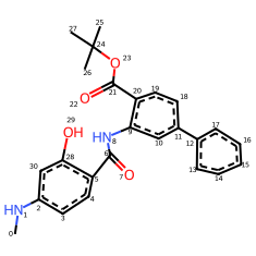 CNc1ccc(C(=O)Nc2cc(-c3ccccc3)ccc2C(=O)OC(C)(C)C)c(O)c1